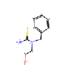 NC(=S)N(CCO)Cc1ccccc1